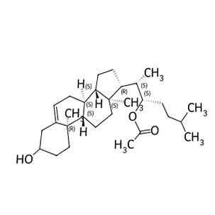 CC(=O)O[C@@H](CCC(C)C)[C@@H](C)[C@H]1CC[C@H]2[C@@H]3CC=C4CC(O)CC[C@]4(C)[C@H]3CC[C@]12C